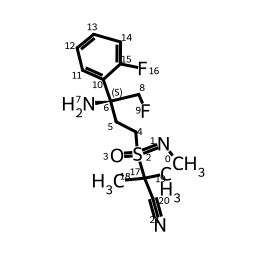 CN=S(=O)(CC[C@@](N)(CF)c1ccccc1F)C(C)(C)C#N